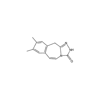 Cc1cc2c(cc1C)Cc1n[nH]c(=O)n1C=C2